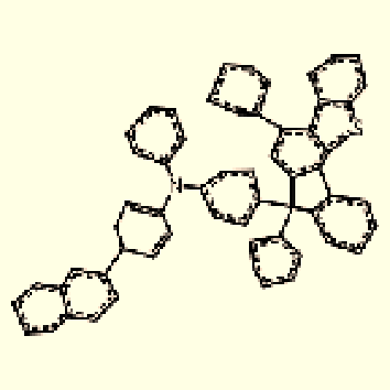 C1=CC(c2ccc3ccccc3c2)CC=C1N(c1ccccc1)c1ccc(C2(c3ccccc3)c3ccccc3-c3c2cc(-c2ccccc2)c2c3sc3ccccc32)cc1